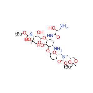 CN(C(=O)OC(C)(C)C)[C@@H]1C(O)[C@@H](OC2C(O)C(OC3=CCC[C@@H](CN(C[C@@H]4COC(C)(C)O4)C(=O)OC(C)(C)C)O3)[C@@H](N)C[C@H]2NC(=O)[C@@H](O)CN)OCC1(C)O